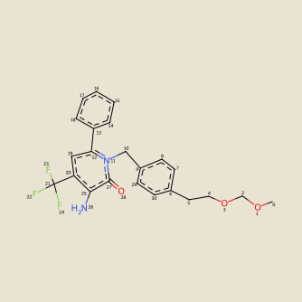 COCOCCc1ccc(Cn2c(-c3ccccc3)cc(C(F)(F)F)c(N)c2=O)cc1